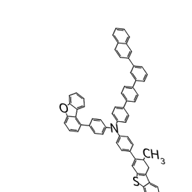 CC1Cc2c(sc3ccccc23)C=C1c1ccc(N(c2ccc(-c3ccc(-c4cccc(-c5ccc6ccccc6c5)c4)cc3)cc2)c2ccc(-c3cccc4oc5ccccc5c34)cc2)cc1